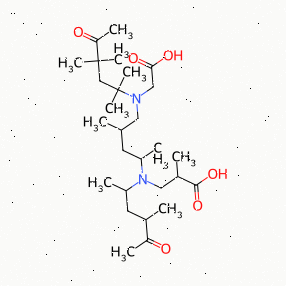 CC(=O)C(C)CC(C)N(CC(C)C(=O)O)C(C)CC(C)CN(CC(=O)O)C(C)(C)CC(C)(C)C(C)=O